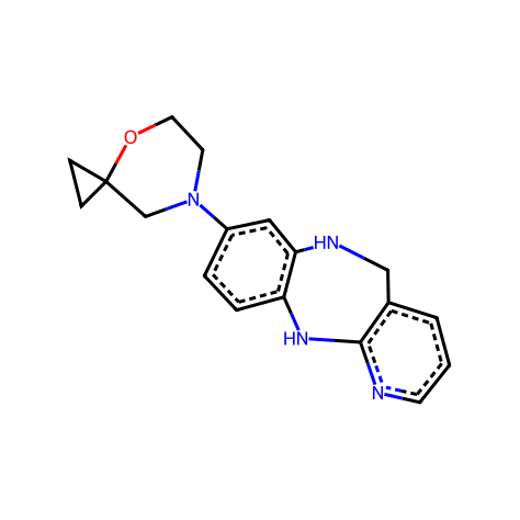 c1cnc2c(c1)CNc1cc(N3CCOC4(CC4)C3)ccc1N2